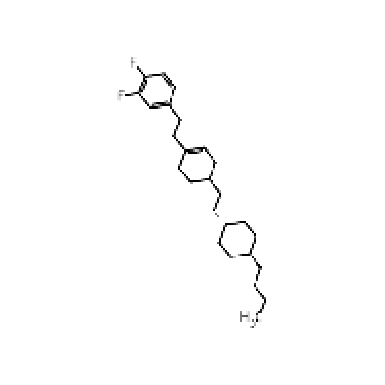 CCCC[C@H]1CC[C@H](CCC2CC=C(CCc3ccc(F)c(F)c3)CC2)CC1